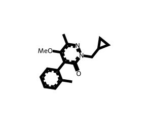 COc1c(C)nn(CC2CC2)c(=O)c1-c1ccccc1C